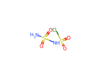 NS(=O)(=O)NS(=O)(=O)Cl